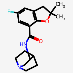 CC1(C)Cc2cc(F)cc(C(=O)NC3CN4CCC3CC4)c2O1